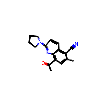 CC(=O)c1cc(C)c(C#N)c2ccc(N3CCCC3)nc12